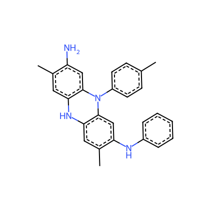 Cc1ccc(N2c3cc(N)c(C)cc3Nc3cc(C)c(Nc4ccccc4)cc32)cc1